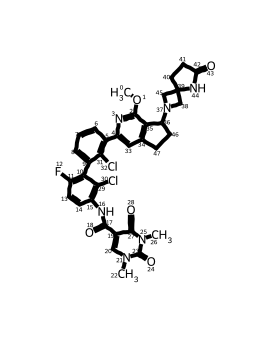 COc1nc(-c2cccc(-c3c(F)ccc(NC(=O)c4cn(C)c(=O)n(C)c4=O)c3Cl)c2Cl)cc2c1C(N1CC3(CCC(=O)N3)C1)CC2